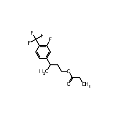 CCC(=O)OCCC(C)c1ccc(C(F)(F)F)c(F)c1